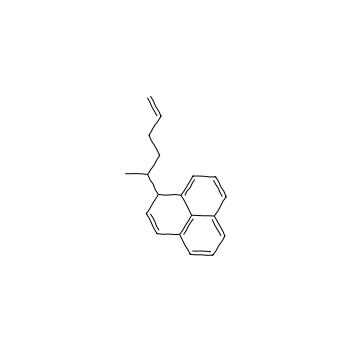 C=CCCC(C)C1C=Cc2cccc3cccc1c23